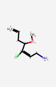 C=CCC(OC)/C(Cl)=C\CN